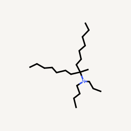 CCCCCCCC(C)(CCCCCCC)N(CCC)CCCC